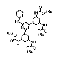 CC(C)(C)OC(=O)NC1CC(NC(=O)OC(C)(C)C)CN(c2cc(Nc3ccccc3)nc(N3CC(NC(=O)OC(C)(C)C)CC(NC(=O)OC(C)(C)C)C3)c2)C1